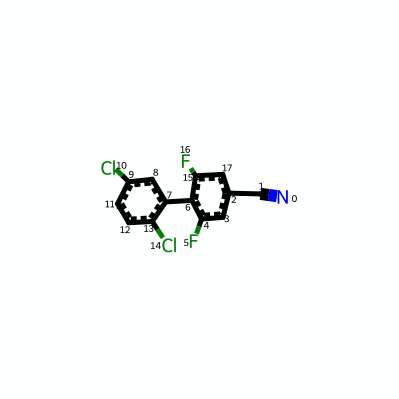 N#Cc1cc(F)c(-c2cc(Cl)[c]cc2Cl)c(F)c1